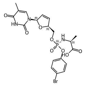 Cc1cn([C@H]2C=C[C@@H](CO[P@@](=O)(N[C@@H](C)C(=O)O)Oc3ccc(Br)cc3)O2)c(=O)[nH]c1=O